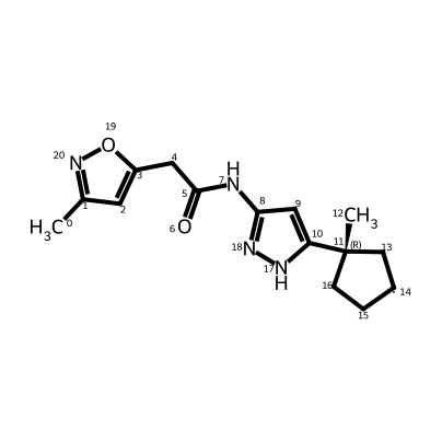 Cc1cc(CC(=O)Nc2cc([C@]3(C)C[CH]CC3)[nH]n2)on1